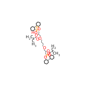 C=C(C)C(=O)OC(COCCCCOCC(C[PH]1(O)Oc2ccccc2-c2ccccc21)OC(=O)C(=C)C)CP1(=O)Oc2ccccc2-c2ccccc21